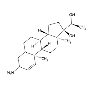 C[C@H](O)[C@@]1(O)CC[C@H]2[C@@H]3CCC4CC(N)C=C[C@]4(C)[C@H]3CC[C@@]21C